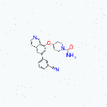 N#Cc1cccc(-c2cc(OC3CCN(C(N)=O)CC3)c3cnccc3c2)c1